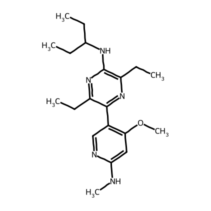 CCc1nc(-c2cnc(NC)cc2OC)c(CC)nc1NC(CC)CC